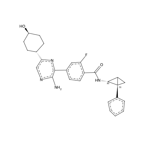 Nc1ncc([C@H]2CC[C@H](O)CC2)nc1-c1ccc(C(=O)N[C@@H]2C3C[C@@]32c2ccccc2)c(F)c1